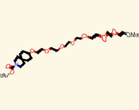 COCCOCCOCCOCCOCCOCCOCCOC1CCC2(CC1)CCN(C(=O)OC(C)(C)C)CC2